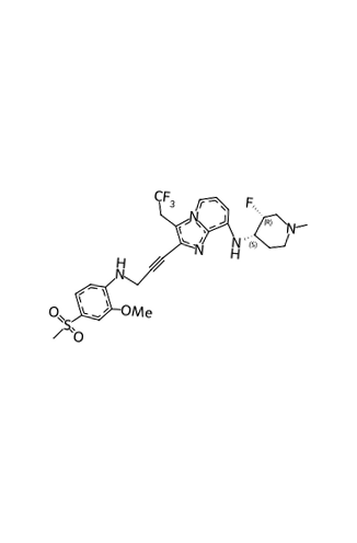 COc1cc(S(C)(=O)=O)ccc1NCC#Cc1nc2c(N[C@H]3CCN(C)C[C@H]3F)cccn2c1CC(F)(F)F